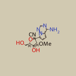 CO[C@@H]1[C@H](O)[C@@H](CO)O[C@@]1(C#N)c1ccc2c(N)ncnn12